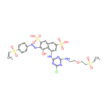 C=CS(=O)(=O)CCOCCNc1nc(Cl)nc(Nc2cc(S(=O)(=O)O)cc3cc(S(=O)(=O)O)c(/N=N/c4ccc(S(=O)(=O)C=C)cc4)c(O)c23)n1